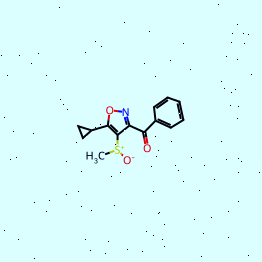 C[S+]([O-])c1c(C(=O)c2ccccc2)noc1C1CC1